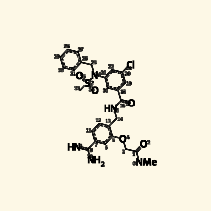 CNC(=O)COc1cc(C(=N)N)ccc1CNC(=O)c1cc(Cl)cc(N(Cc2ccccc2)S(C)(=O)=O)c1